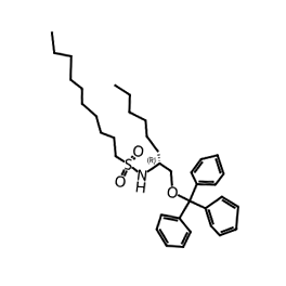 CCCCCCCCCCS(=O)(=O)N[C@H](CCCCCC)COC(c1ccccc1)(c1ccccc1)c1ccccc1